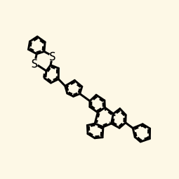 c1ccc(-c2ccc3c4ccc(-c5ccc(-c6ccc7c(c6)Sc6ccccc6S7)cc5)cc4c4ccccc4c3c2)cc1